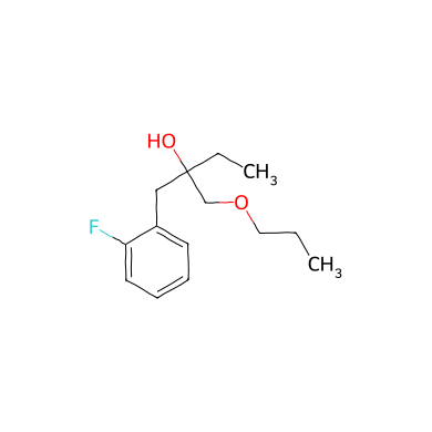 CCCOCC(O)(CC)Cc1ccccc1F